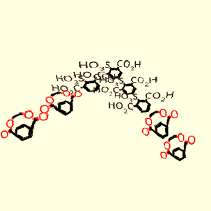 O=C(O)c1cccc(C(=O)O)c1S(=O)(=O)O.O=C(O)c1cccc(C(=O)O)c1S(=O)(=O)O.O=C(O)c1cccc(C(=O)O)c1S(=O)(=O)O.O=C(O)c1cccc(C(=O)O)c1S(=O)(=O)O.O=C1OCCOC(=O)c2ccc1cc2.O=C1OCCOC(=O)c2ccc1cc2.O=C1OCCOC(=O)c2ccc1cc2.O=C1OCCOC(=O)c2ccc1cc2